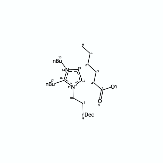 CCCCCC(=O)[O-].CCCCCCCCCCCC[n+]1ccn(CCCC)c1CCCC